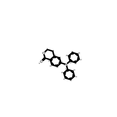 O=C1OCCc2cc(N(c3ccccc3)c3ccccc3)ccc21